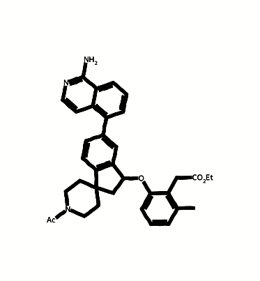 CCOC(=O)Cc1c(C)cccc1OC1CC2(CCN(C(C)=O)CC2)c2ccc(-c3cccc4c(N)nccc34)cc21